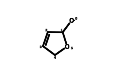 [O]C1C=CCO1